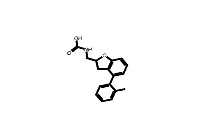 Cc1ccccc1-c1cccc2c1CC(CNC(=O)O)O2